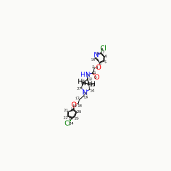 O=C(COc1ccc(Cl)nc1)NC1[C@H]2CN(CCCOc3ccc(Cl)cc3)C[C@@H]12